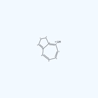 C1=CC=C2CCC=C2C=C1.[LiH]